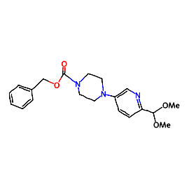 COC(OC)c1ccc(N2CCN(C(=O)OCc3ccccc3)CC2)cn1